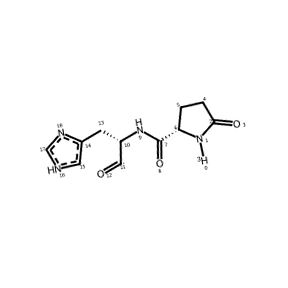 [3H]N1C(=O)CC[C@H]1C(=O)N[C@H]([C]=O)Cc1c[nH]cn1